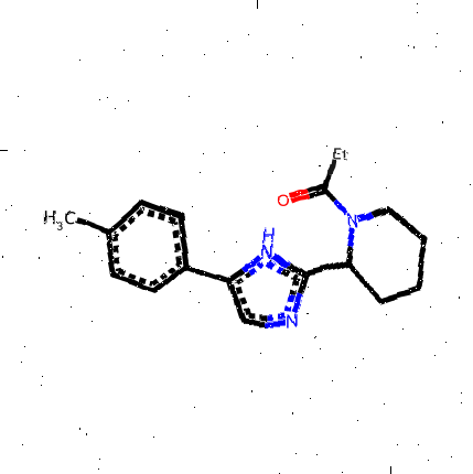 CCC(=O)N1CCCCC1c1ncc(-c2ccc(C)cc2)[nH]1